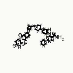 [2H]N1C(=O)CCC(N2C(=O)c3ccc(N4CCC(CN5CCC(c6ccc(Nc7nc(N8CCCCC8)nnc7C(N)=O)cc6)CC5)C4)cc3C2=O)C1=O